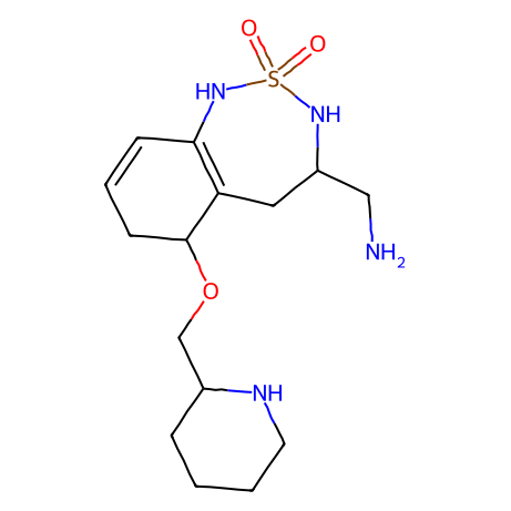 NCC1CC2=C(C=CCC2OCC2CCCCN2)NS(=O)(=O)N1